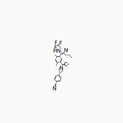 C=C=C(c1cc(/C(NCC(F)(F)F)=C(\CCC)N=C)c(C)cc1C)N1CC(c2ccc(C#N)cc2)C1